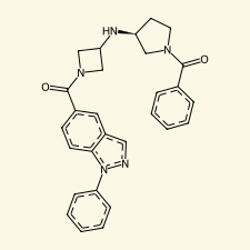 O=C(c1ccc2c(cnn2-c2ccccc2)c1)N1CC(N[C@H]2CCN(C(=O)c3ccccc3)C2)C1